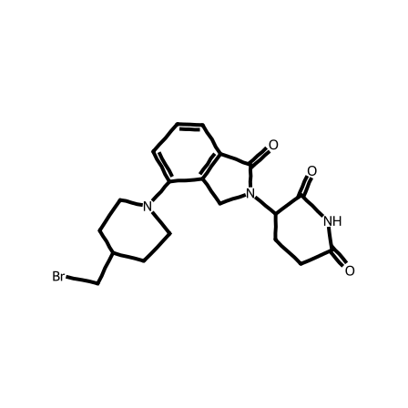 O=C1CCC(N2Cc3c(cccc3N3CCC(CBr)CC3)C2=O)C(=O)N1